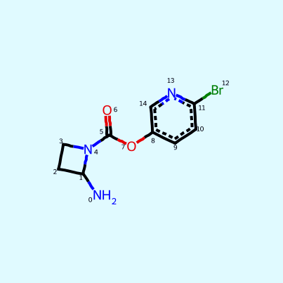 NC1CCN1C(=O)Oc1ccc(Br)nc1